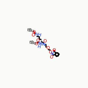 CC(C)(C)OC(=O)NCCCC[C@@H](NC(=O)OC(C)(C)C)C(=O)NCCOCCON1C(=O)c2ccccc2C1=O